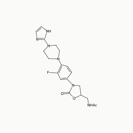 CC(=O)NCC1CN(c2ccc(N3CCN(c4ncc[nH]4)CC3)c(F)c2)C(=O)O1